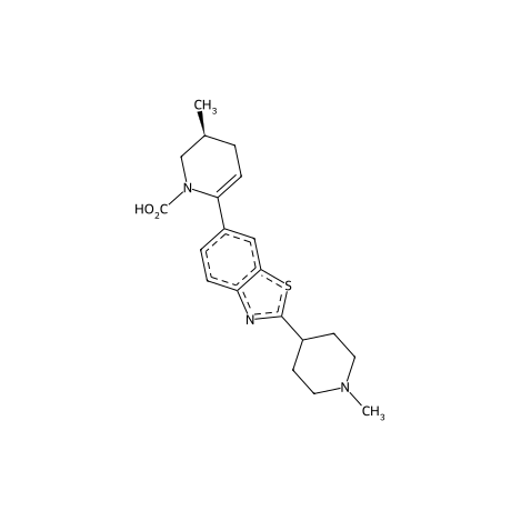 C[C@H]1CC=C(c2ccc3nc(C4CCN(C)CC4)sc3c2)N(C(=O)O)C1